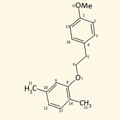 COc1ccc(CCOc2cc(C)ccc2C)cc1